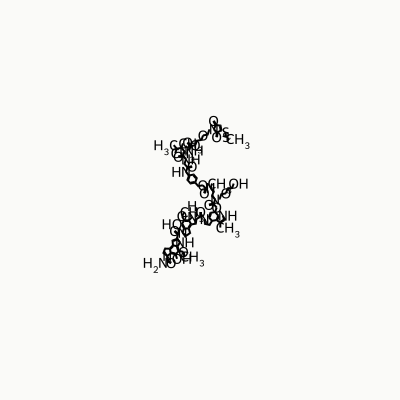 COc1c(O)c2c(c3cc(C(=O)N4CCc5c4c(O)c(OC)c4[nH]c(C(=O)N6CCC7C6=CC(OC(=O)N(CCOCCO)CCN(C)C(=O)OCc6ccc(NC(=O)CNC(=O)[C@@H](NC(=O)OCCOCCN8C(=O)C=C(SSC)C8=O)C(C)C(C)C)cc6)c6[nH]cc(C)c67)cc54)[nH]c13)CCN2C(N)=O